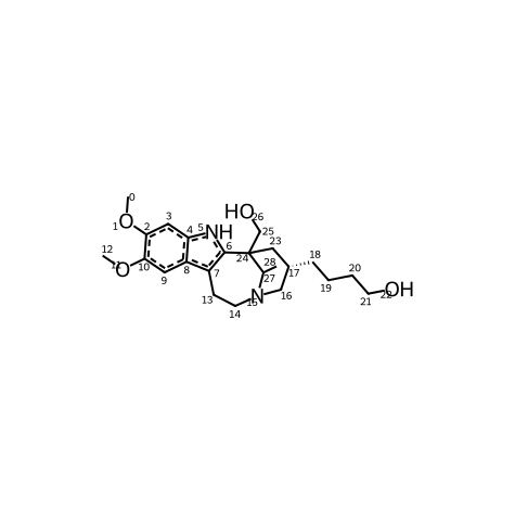 COc1cc2[nH]c3c(c2cc1OC)CCN1C[C@@H](CCCCO)CC3(CO)C1C